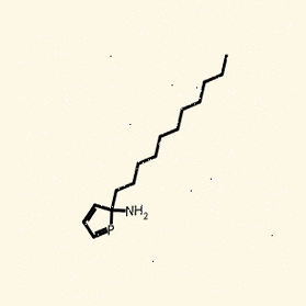 CCCCCCCCCCCC1(N)C=CC=P1